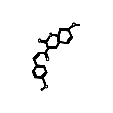 COc1ccc(/C=C\C(=O)c2cc3ccc(OC)cc3sc2=O)cc1